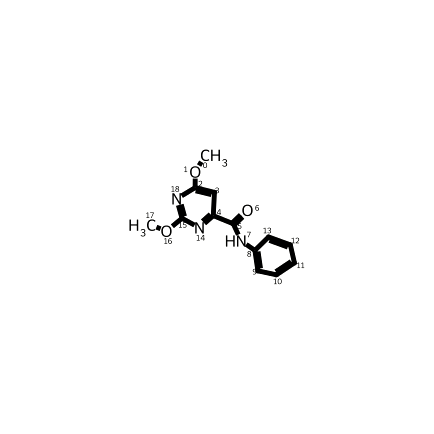 COc1cc(C(=O)Nc2ccccc2)nc(OC)n1